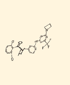 O=C(Nc1ccnc(Nc2cc(C(F)(F)F)nc(N3CCC3)n2)c1)c1c(Cl)cccc1Cl